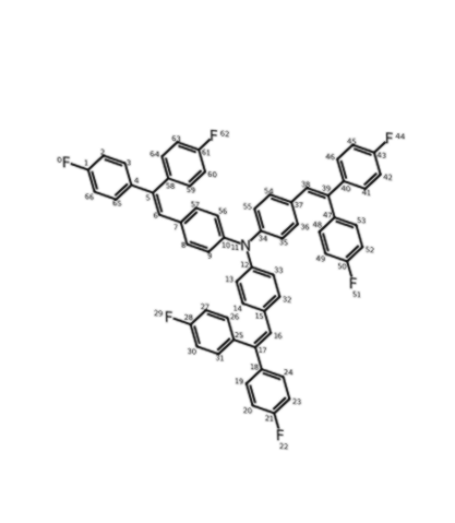 Fc1ccc(C(=Cc2ccc(N(c3ccc(C=C(c4ccc(F)cc4)c4ccc(F)cc4)cc3)c3ccc(C=C(c4ccc(F)cc4)c4ccc(F)cc4)cc3)cc2)c2ccc(F)cc2)cc1